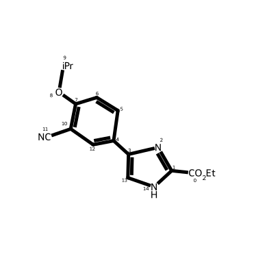 CCOC(=O)c1nc(-c2ccc(OC(C)C)c(C#N)c2)c[nH]1